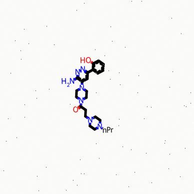 CCCN1CCN(CCC(=O)N2CCN(c3cc(-c4ccccc4O)nnc3N)CC2)CC1